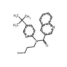 CC(C)(C)c1ccc(N(CCCF)C(=O)c2cnc3ccccc3c2)nc1